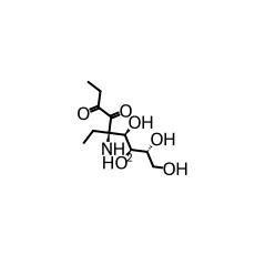 CCC(=O)C(=O)[C@@](N)(CC)[C@@H](O)[C@H](O)[C@H](O)CO